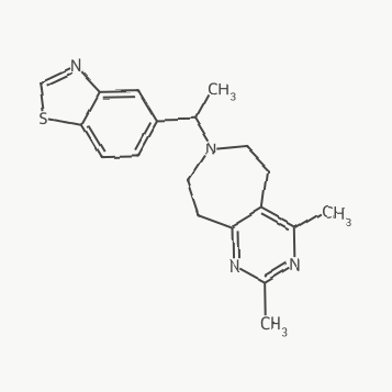 Cc1nc(C)c2c(n1)CCN(C(C)c1ccc3scnc3c1)CC2